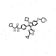 O=C(Nc1ccc(-c2c(-c3noc(C4CC4)n3)c3ccc(OC4CCOCC4)cc3n2C2CCC2)cc1)NC1CCC1